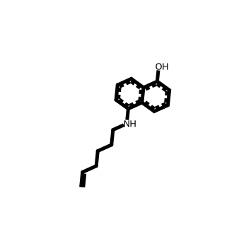 C=CCCCCNc1cccc2c(O)cccc12